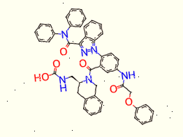 O=C(O)NC[C@@H]1Cc2ccccc2CN1C(=O)c1cc(NC(=O)COc2ccccc2)ccc1-n1nc(C(=O)N(c2ccccc2)c2ccccc2)c2ccccc21